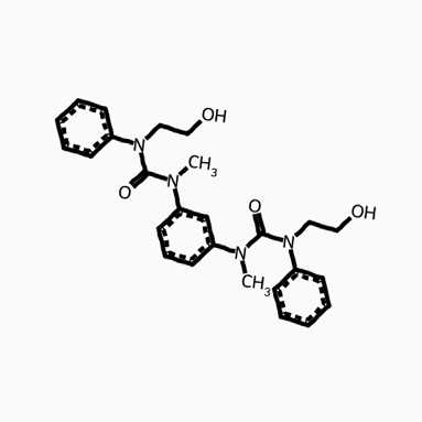 CN(C(=O)N(CCO)c1ccccc1)c1cccc(N(C)C(=O)N(CCO)c2ccccc2)c1